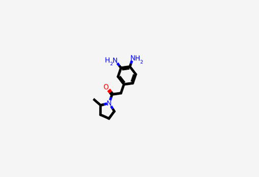 CC1CCCN1C(=O)Cc1ccc(N)c(N)c1